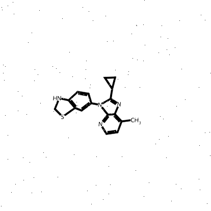 Cc1ccnc2c1nc(C1CC1)n2-c1ccc2c(c1)SCN2